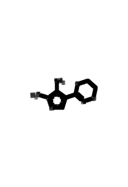 Cn1ncc(C2=NOCCO2)c1N